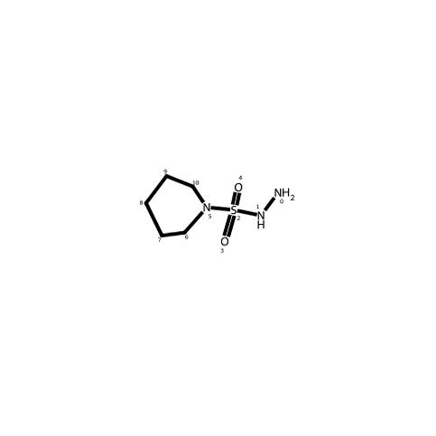 NNS(=O)(=O)N1CCCCC1